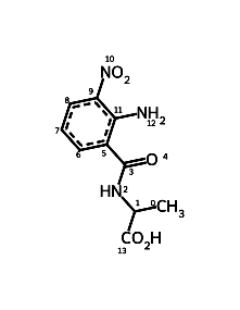 CC(NC(=O)c1cccc([N+](=O)[O-])c1N)C(=O)O